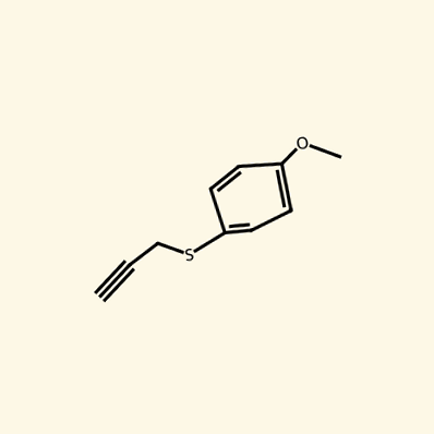 C#CCSc1ccc(OC)cc1